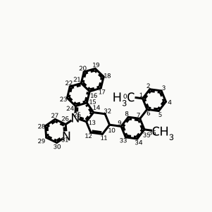 Cc1ccccc1-c1cc(C2C=Cc3c(c4c5ccccc5ccc4n3-c3ccccn3)C2)ccc1C